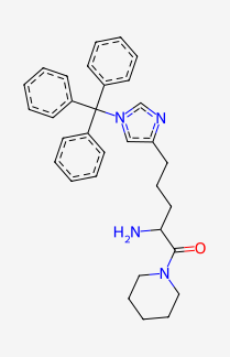 NC(CCCc1cn(C(c2ccccc2)(c2ccccc2)c2ccccc2)cn1)C(=O)N1CCCCC1